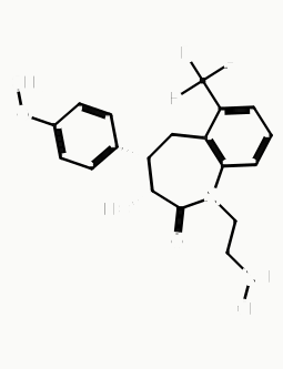 CNCCN1C(=O)[C@H](O)[C@H](c2ccc(OC)cc2)Cc2c1cccc2C(F)(F)F